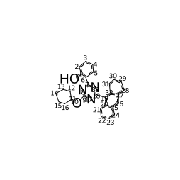 Oc1ccccc1-c1nc(OC2CCCCC2)nc(-c2c3ccccc3cc3ccccc23)n1